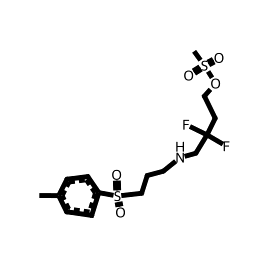 Cc1ccc(S(=O)(=O)CCCNCC(F)(F)CCOS(C)(=O)=O)cc1